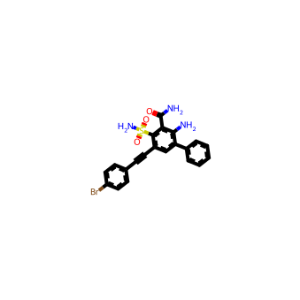 NC(=O)c1c(N)c(-c2ccccc2)cc(C#Cc2ccc(Br)cc2)c1S(N)(=O)=O